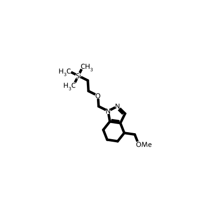 COCC1CCCc2c1cnn2COCC[Si](C)(C)C